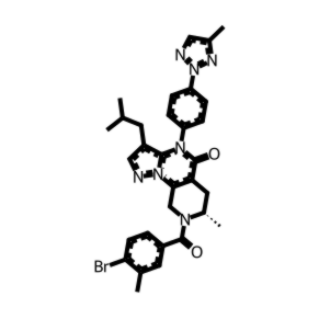 Cc1cnn(-c2ccc(-n3c(=O)c4c(n5ncc(CC(C)C)c35)CN(C(=O)c3ccc(Br)c(C)c3)[C@@H](C)C4)cc2)n1